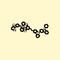 c1ccc(-n2c3ccccc3c3cc(-n4c5ccccc5c5cc(CCc6cc7c8c(c6)Oc6cccc9c6B8c6c(cccc6N9c6ccc8oc9cccnc9c8c6)O7)ccc54)ccc32)cc1